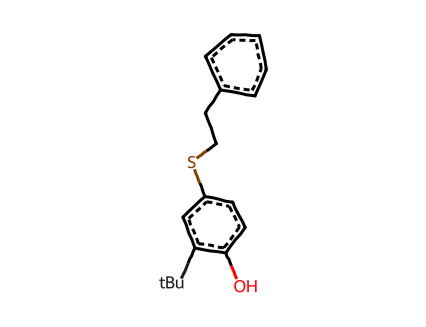 CC(C)(C)c1cc(SCCc2ccccc2)ccc1O